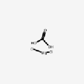 O=C(O)O.[Cl][Mg][Cl]